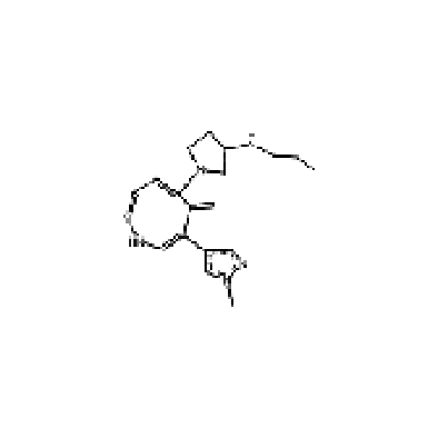 C=C1/C(c2cnn(C)c2)=C\N/N=C\C=C/1N1CCC(NCCC)C1